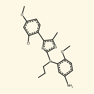 CCCN(c1nc(-c2ccc(OC)cc2Cl)c(C)s1)c1cc(N)ccc1OC